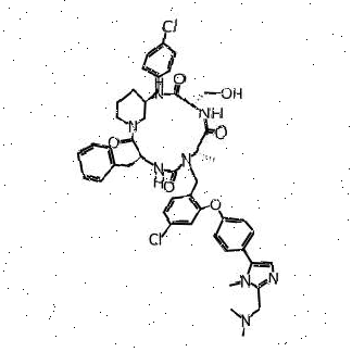 C[C@H]1C(=O)N[C@@H](CO)C(=O)N[C@@]2(Cc3ccc(Cl)cc3)CCCN(C2)C(=O)[C@H](Cc2ccccc2)NC(=O)N1Cc1ccc(Cl)cc1Oc1ccc(-c2cnc(CN(C)C)n2C)cc1